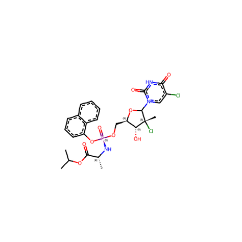 CC(C)OC(=O)[C@@H](C)N[P@@](=O)(OC[C@H]1OC(n2cc(Cl)c(=O)[nH]c2=O)[C@](C)(Cl)[C@@H]1O)Oc1cccc2ccccc12